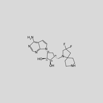 Nc1ncnc2c1ccn2[C@@H]1C[C@H](CN2CC(F)(F)CC23CCNCC3)[C@@H](O)[C@H]1O